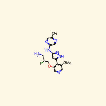 COc1cncc(OCC(F)CN)c1-c1cc(Nc2cnc(C#N)cn2)n[nH]1